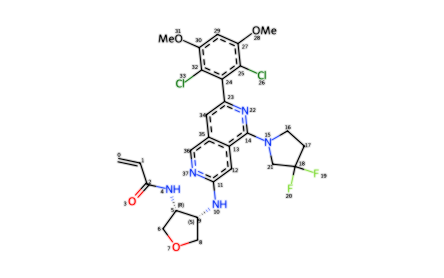 C=CC(=O)N[C@H]1COC[C@H]1Nc1cc2c(N3CCC(F)(F)C3)nc(-c3c(Cl)c(OC)cc(OC)c3Cl)cc2cn1